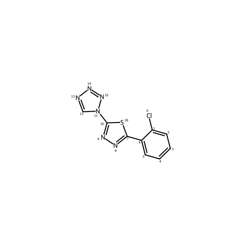 Clc1ccccc1-c1nnc(-n2cnnn2)s1